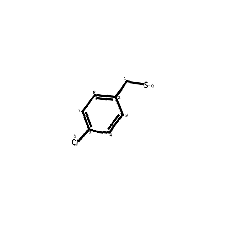 [S]Cc1ccc(Cl)cc1